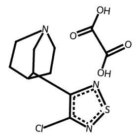 Clc1nsnc1C1CN2CCC1CC2.O=C(O)C(=O)O